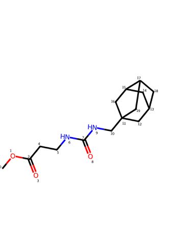 COC(=O)CCNC(=O)NCC12CC3CC(C1)C(C3)C2